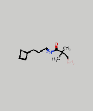 BCC(C)(C)C(=O)/N=C/CCC1CCC1